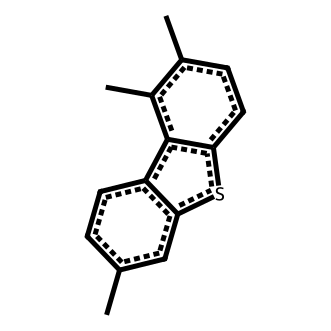 Cc1ccc2c(c1)sc1ccc(C)c(C)c12